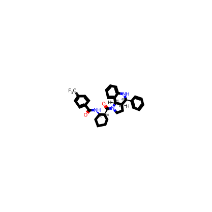 O=C(N[C@@H]1CCCC[C@@H]1C(=O)N1CC[C@@H]2[C@H](c3ccccc3)Nc3ccccc3[C@@H]21)c1ccc(C(F)(F)F)cc1